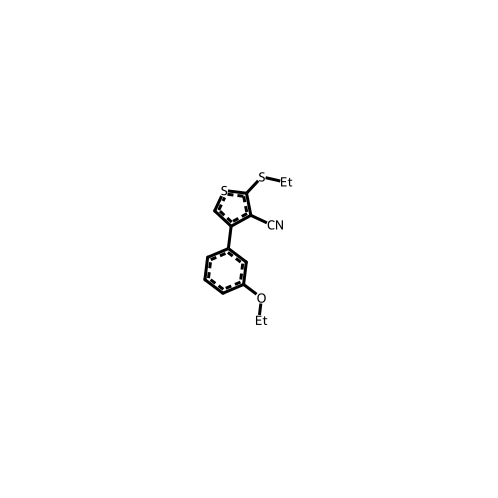 CCOc1cccc(-c2csc(SCC)c2C#N)c1